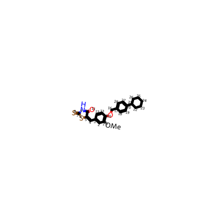 COc1cc(C=C2SC(=S)NC2=O)ccc1OCc1ccc(C2CCCCC2)cc1